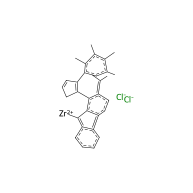 CC(C)=c1ccc2c(c1C1=C(c3cc(C)c(C)c(C)c3C)C=CC1)[C]([Zr+2])=c1ccccc1=2.[Cl-].[Cl-]